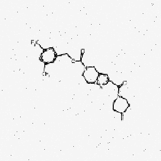 O=C(OCc1cc(C(F)(F)F)cc(C(F)(F)F)c1)N1CCn2nc(C(=O)N3CCNCC3)cc2C1